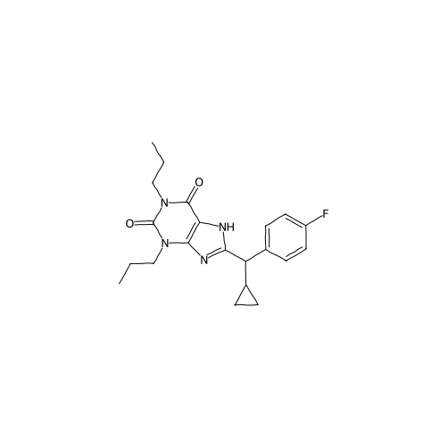 CCCn1c(=O)c2[nH]c(C(c3ccc(F)cc3)C3CC3)nc2n(CCC)c1=O